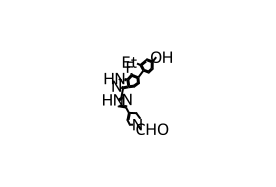 CCc1cc(O)ccc1-c1ccc2c(-c3nc(C4=CCN(C=O)CC4)c[nH]3)n[nH]c2c1F